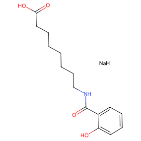 O=C(O)CCCCCCCNC(=O)c1ccccc1O.[NaH]